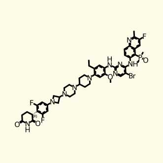 CCc1cc(Nc2ncc(Br)c(Nc3ccc4nc(C)c(F)cc4c3P(C)(C)=O)n2)c(OC)cc1N1CCC(N2CCN(C3CN(c4cc(F)c([C@H]5CCC(=O)NC5=O)c(F)c4)C3)CC2)CC1